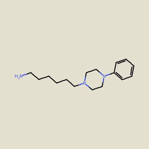 NCCCCCCN1CCN(c2ccccc2)CC1